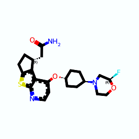 NC(=O)C[C@H]1CCc2sc3nccc(O[C@H]4CC[C@H](N5CCO[C@H](F)C5)CC4)c3c21